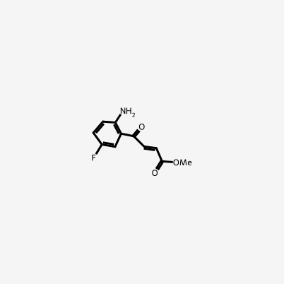 COC(=O)C=CC(=O)c1cc(F)ccc1N